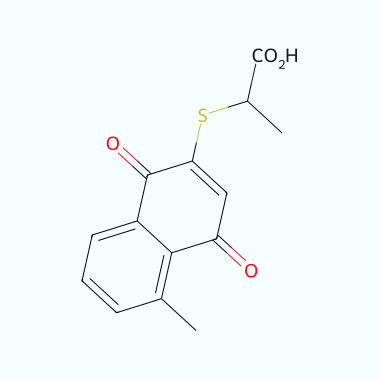 Cc1cccc2c1C(=O)C=C(SC(C)C(=O)O)C2=O